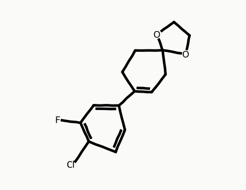 Fc1cc(C2=CCC3(CC2)OCCO3)ccc1Cl